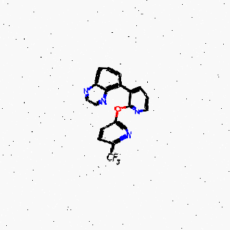 FC(F)(F)c1ccc(Oc2ncccc2-c2cccc3nccnc23)cn1